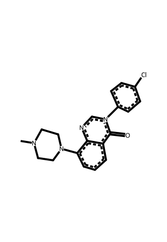 CN1CCN(c2cccc3c(=O)n(-c4ccc(Cl)cc4)cnc23)CC1